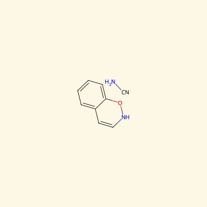 C1=Cc2ccccc2ON1.N#CN